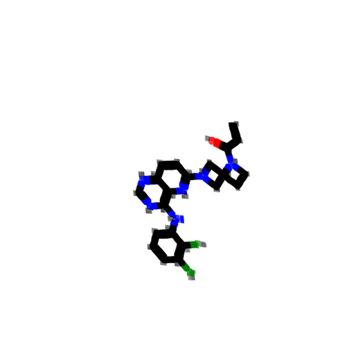 C=CC(=O)N1CCC12CN(c1ccc3ncnc(Nc4cccc(Br)c4F)c3n1)C2